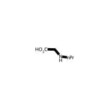 CCCNCC(=O)O